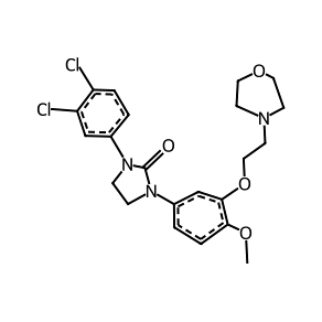 COc1ccc(N2CCN(c3ccc(Cl)c(Cl)c3)C2=O)cc1OCCN1CCOCC1